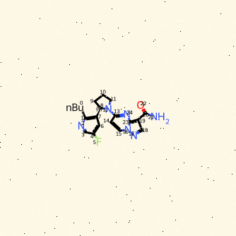 CCCCc1ncc(F)cc1[C@H]1CCCN1c1ccn2ncc(C(N)=O)c2n1